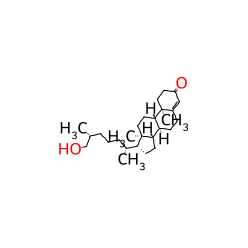 C[C@@H](CO)CCC[C@@H](C)[C@H]1CC[C@H]2[C@@H]3CCC4=CC(=O)CC[C@]4(C)[C@H]3CC[C@]12C